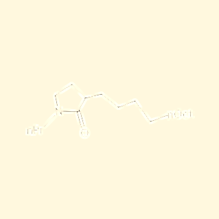 CCCCCCCCCCCCC1CCN(CCC)C1=O